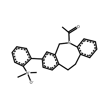 CC(=O)N1Cc2cc(-c3ccccc3[N+](C)(C)[O-])ccc2CCc2ccccc21